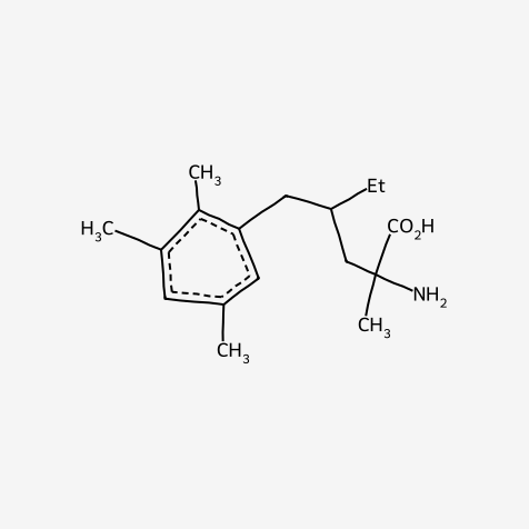 CCC(Cc1cc(C)cc(C)c1C)CC(C)(N)C(=O)O